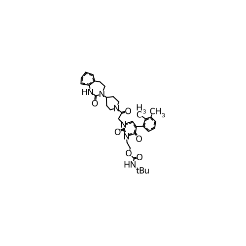 Cc1cccc(-c2cn(CC(=O)N3CCC(N4CCc5ccccc5NC4=O)CC3)c(=O)n(CCOC(=O)NC(C)(C)C)c2=O)c1C